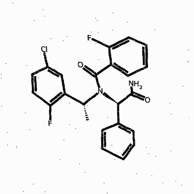 C[C@H](c1cc(Cl)ccc1F)N(C(=O)c1ccccc1F)[C@@H](C(N)=O)c1ccccc1